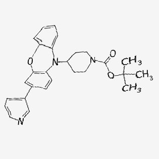 CC(C)(C)OC(=O)N1CCC(N2c3ccccc3Oc3cc(-c4cccnc4)ccc32)CC1